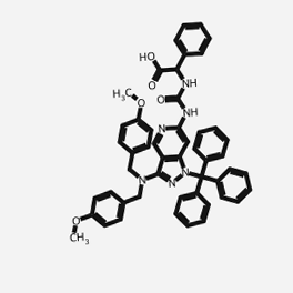 COc1ccc(CN(Cc2ccc(OC)cc2)c2nn(C(c3ccccc3)(c3ccccc3)c3ccccc3)c3cc(NC(=O)NC(C(=O)O)c4ccccc4)ncc23)cc1